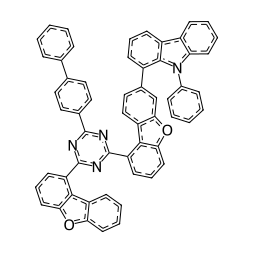 c1ccc(-c2ccc(-c3nc(-c4cccc5oc6ccccc6c45)nc(-c4cccc5oc6cc(-c7cccc8c9ccccc9n(-c9ccccc9)c78)ccc6c45)n3)cc2)cc1